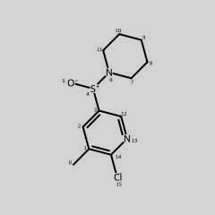 Cc1cc([S+]([O-])N2CCCCC2)cnc1Cl